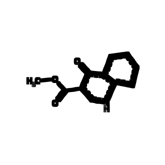 COC(=O)c1c[nH]c2ccccc2c1=O